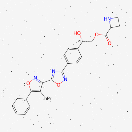 CCCc1c(-c2nc(-c3ccc([C@H](O)COC(=O)C4CCN4)cc3)no2)noc1-c1ccccc1